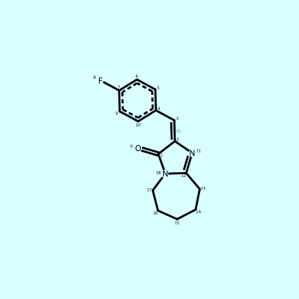 O=C1/C(=C\c2ccc(F)cc2)N=C2CCCCCN12